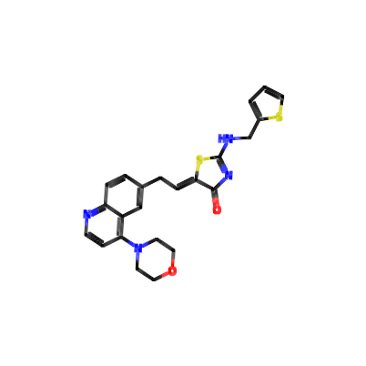 O=C1N=C(NCc2cccs2)S/C1=C\Cc1ccc2nccc(N3CCOCC3)c2c1